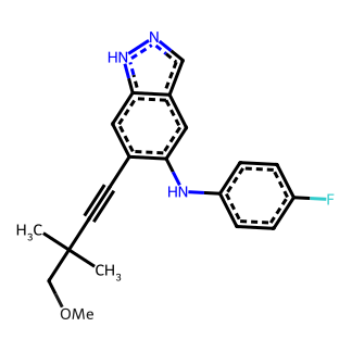 COCC(C)(C)C#Cc1cc2[nH]ncc2cc1Nc1ccc(F)cc1